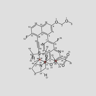 COCOc1cc(-c2ncc3c(C4C[C@H]5CC[C@@H](C4)N5C(=O)OC(C)(C)C)nc(S(C)(=O)=O)nc3c2F)c2c(C#C[Si](C(C)C)(C(C)C)C(C)C)c(F)ccc2c1